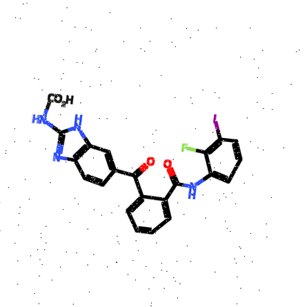 O=C(O)Nc1nc2ccc(C(=O)c3ccccc3C(=O)Nc3cccc(I)c3F)cc2[nH]1